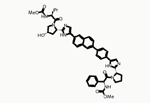 COC(=O)N[C@H](C(=O)N1C[C@@H](O)C[C@H]1c1ncc(-c2ccc3cc(-c4ccc(-c5cnc([C@@H]6CCCN6C(=O)[C@H](NC(=O)OC)c6ccccc6)[nH]5)cc4)ccc3c2)[nH]1)C(C)C